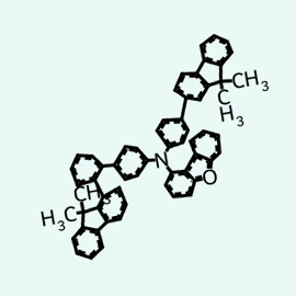 CC1(C)c2ccccc2-c2ccc(-c3ccc(N(c4ccc(-c5ccccc5-c5cccc6c5C(C)(C)c5ccccc5-6)cc4)c4cccc5oc6ccccc6c45)cc3)cc21